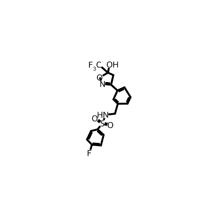 O=S(=O)(NCc1cccc(C2=NOC(O)(C(F)(F)F)C2)c1)c1ccc(F)cc1